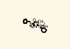 Cn1c(NCC2(O)CCCCC2)nc2ncn(Cc3ccccc3)c2c1=O